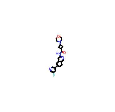 O=C(Nc1cc2cc(-c3cncc(F)c3)ccc2cn1)C1CC(N2CCOCC2)C1